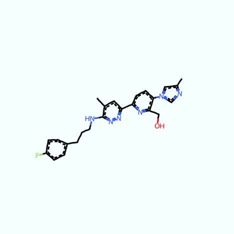 Cc1cn(-c2ccc(-c3cc(C)c(NCCCc4ccc(F)cc4)nn3)nc2CO)cn1